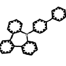 c1ccc(-c2ccc(N3c4ccccc4-c4ccccc4-c4ccccc43)cc2)cc1